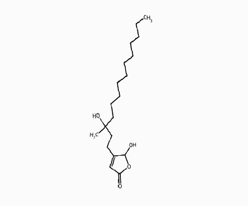 CCCCCCCCCCCC(C)(O)CCC1=CC(=O)OC1O